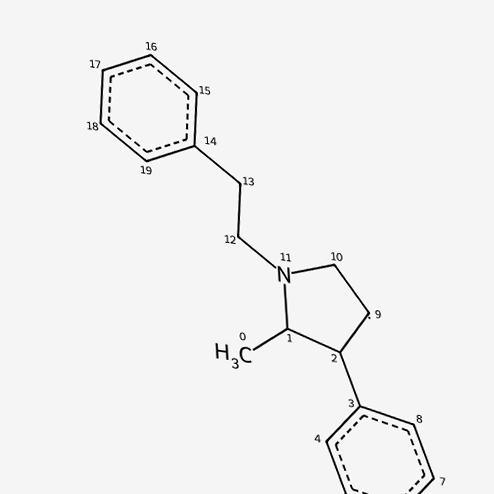 CC1C(c2ccccc2)[CH]CN1CCc1ccccc1